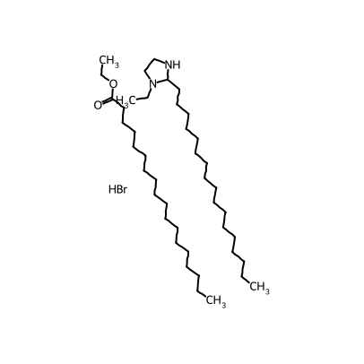 Br.CCCCCCCCCCCCCCCCCC(=O)OCC.CCCCCCCCCCCCCCCCCC1NCCN1CC